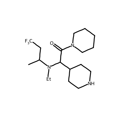 CCN(C(C)CC(F)(F)F)C(C(=O)N1CCCCC1)C1CCNCC1